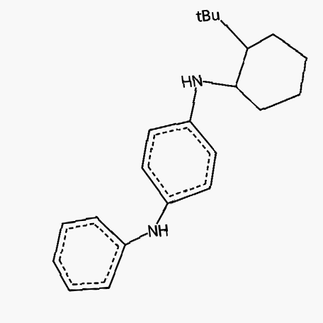 CC(C)(C)C1CCCCC1Nc1ccc(Nc2ccccc2)cc1